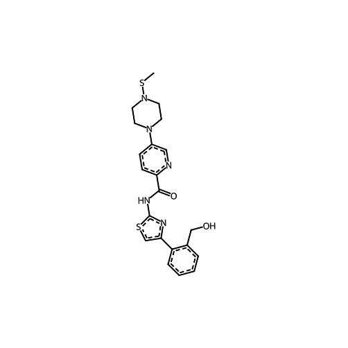 CSN1CCN(c2ccc(C(=O)Nc3nc(-c4ccccc4CO)cs3)nc2)CC1